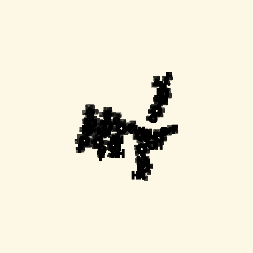 CNc1ccn2cc(-c3cccc(C(O)c4c(-c5cccc(OCCF)c5)nc5nc(N6CCC6)ccn45)c3)nc2n1.CNc1ccn2cc(-c3cccc(OC)c3)nc2n1.COc1ccc(-c2cn3ccc(N(CCF)C4CC4)nc3n2)cc1.FCOc1cccc(-c2cn3ccc(N4CCC4)nc3n2)c1.Fc1ccc(-c2cn3ccc(N4CCC4)nc3n2)cc1